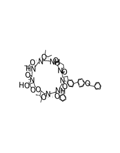 CCC(C)[C@@H]1NC(=O)[C@@H]2CCCN2C(=O)C(Cc2cccc(-c3ccc(OCc4ccccc4)cc3)c2)N(C)C(=O)C(Cc2ccccc2)NC(=O)[C@H](C)N(C)C(=O)C([C@H](C)CC)OC(=O)C(C(C)(C)O)N(C)C(=O)[C@H](CC(C)C)NC(=O)[C@H](C)N(C)C1=O